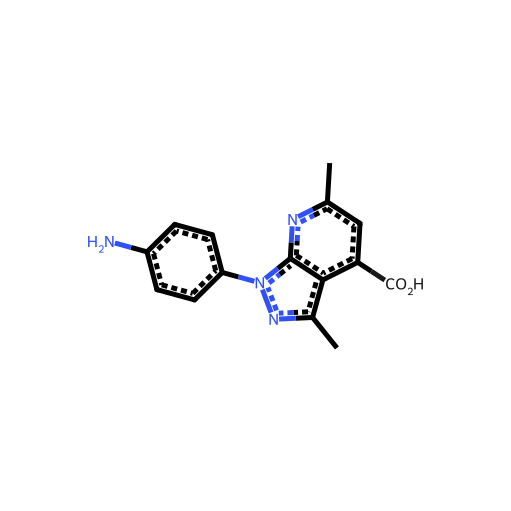 Cc1cc(C(=O)O)c2c(C)nn(-c3ccc(N)cc3)c2n1